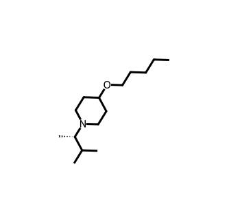 CCCCCOC1CCN([C@@H](C)C(C)C)CC1